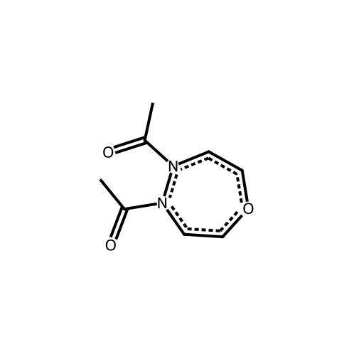 CC(=O)n1ccoccn1C(C)=O